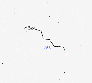 CCCCCCCCCCl.N